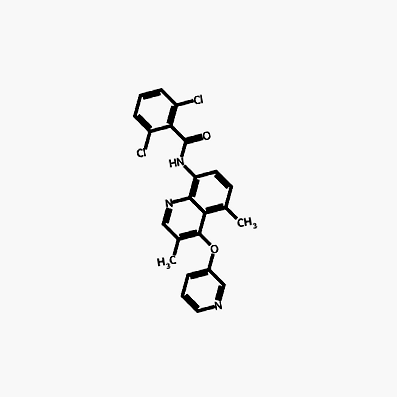 Cc1cnc2c(NC(=O)c3c(Cl)cccc3Cl)ccc(C)c2c1Oc1cccnc1